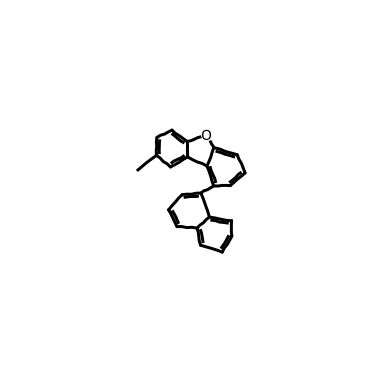 Cc1ccc2oc3cccc(-c4cccc5ccccc45)c3c2c1